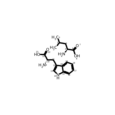 CC(C)C[C@H](N)C(=O)O.N[C@@H](Cc1c[nH]c2ccccc12)C(=O)O